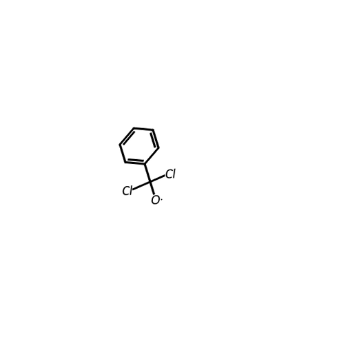 [O]C(Cl)(Cl)c1ccccc1